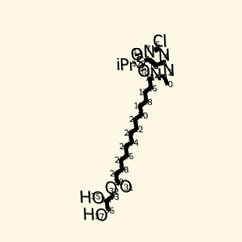 Cc1nc2nc(Cl)nc(S(=O)(=O)C(C)C)c2n1CCCCCCCCCCCCCCCC(=O)OC[C@H](O)CO